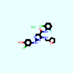 Cl.O=C(Nc1c(F)cccc1Cl)c1cnc(Nc2ccc(O)c(Cl)c2)nc1NCC1CCCO1